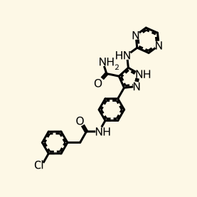 NC(=O)c1c(-c2ccc(NC(=O)Cc3cccc(Cl)c3)cc2)n[nH]c1Nc1cnccn1